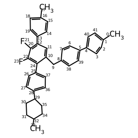 Cc1ccc(-c2ccc(Cc3cc(-c4ccc(C)cc4)c(F)c(F)c3-c3ccc(C4CCC(C)CC4)cc3)cc2)cc1